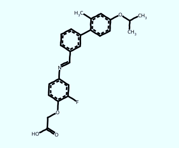 Cc1cc(OC(C)C)ccc1-c1cccc(C=Nc2ccc(OCC(=O)O)c(F)c2)c1